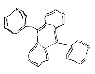 c1cncc(-c2c3ccccc3c(-c3cccnc3)c3cnccc23)c1